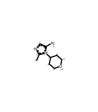 CC(=O)c1cnc(C)n1C1CCOCC1